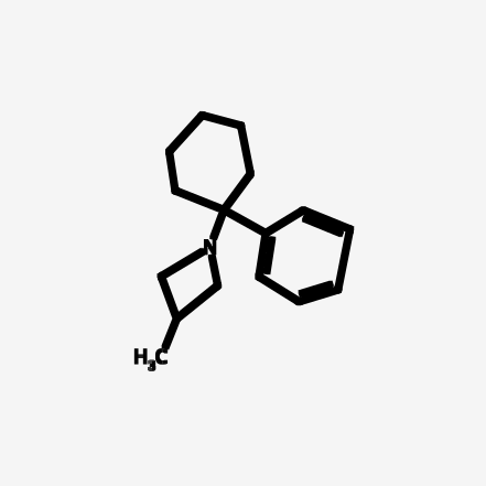 CC1CN(C2(c3ccccc3)CCCCC2)C1